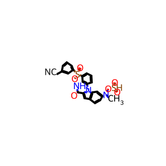 CN(O[SH](=O)=O)c1ccc2cc(C(N)=O)n(-c3cccc(S(=O)(=O)c4cccc(CC#N)c4)c3)c2c1